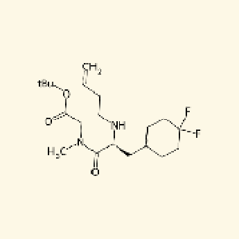 C=CCCN[C@@H](CC1CCC(F)(F)CC1)C(=O)N(C)CC(=O)OC(C)(C)C